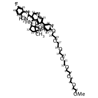 COCCOCCOCCOCCOCCOCCOCCOc1ccc(-c2cc3c(N[C@@H]4CC[C@](C)(N)C4(C)C)c(/C(N)=N/c4cc(F)ccc4Cl)cnn3c2)cn1